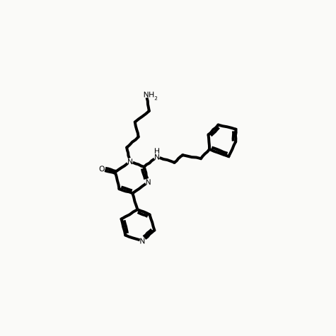 NCCCCn1c(NCCCc2ccccc2)nc(-c2ccncc2)cc1=O